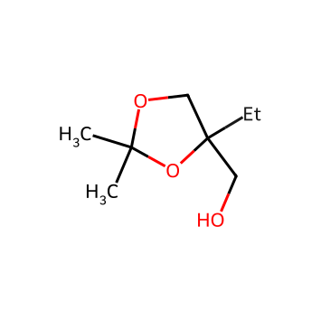 CCC1(CO)COC(C)(C)O1